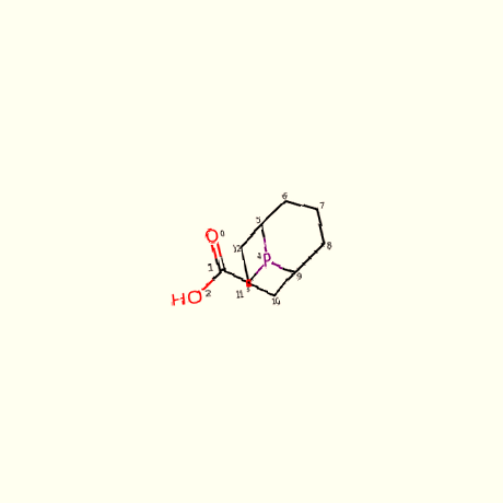 O=C(O)CP1C2CCCC1CCC2